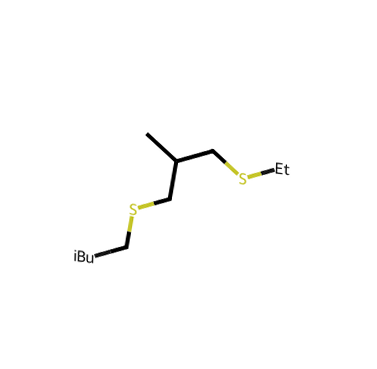 CCSCC(C)CSCC(C)CC